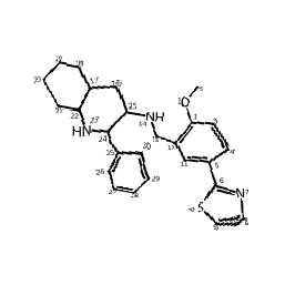 COc1ccc(-c2nccs2)cc1CNC1CC2CCCCC2NC1c1ccccc1